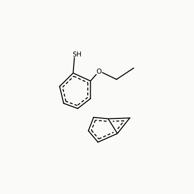 CCOc1ccccc1S.c1cc2cc-2c1